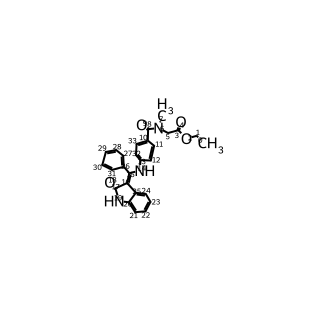 CCOC(=O)CN(C)C(=O)c1ccc(NC(=C2C(=O)Nc3ccccc32)c2ccccc2)cc1